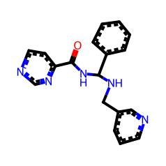 O=C(NC(NCc1cccnc1)c1ccccc1)c1ccncn1